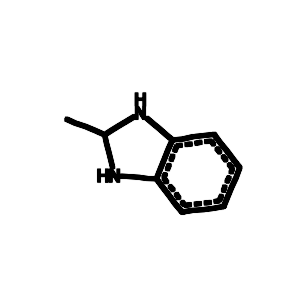 CC1Nc2ccccc2N1